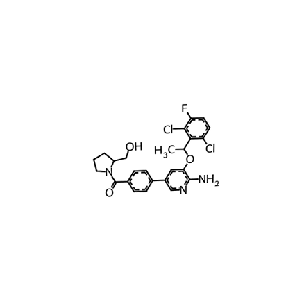 CC(Oc1cc(-c2ccc(C(=O)N3CCCC3CO)cc2)cnc1N)c1c(Cl)ccc(F)c1Cl